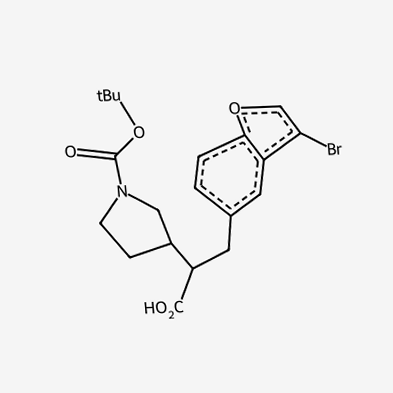 CC(C)(C)OC(=O)N1CCC(C(Cc2ccc3occ(Br)c3c2)C(=O)O)C1